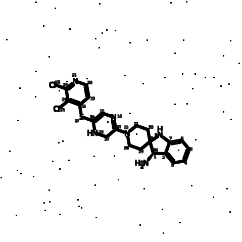 N[C@@H]1c2ccccc2NC12CCN(C1=NC=C(Sc3ccnc(Cl)c3Cl)NC1)CC2